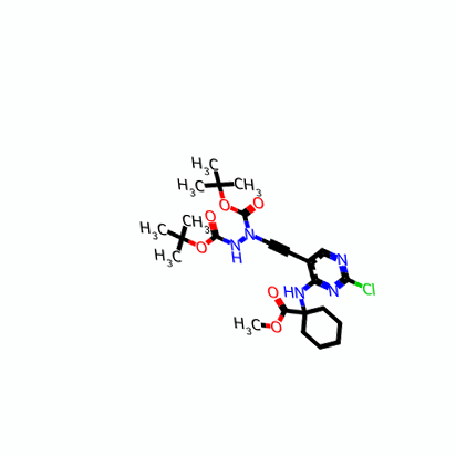 COC(=O)C1(Nc2nc(Cl)ncc2C#CN(NC(=O)OC(C)(C)C)C(=O)OC(C)(C)C)CCCCC1